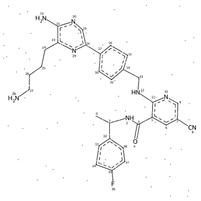 CC(NC(=O)c1cc(C#N)cnc1NCc1ccc(-c2cnc(N)c(CCCCN)n2)cc1)c1ccc(F)cc1